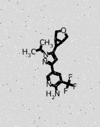 CC(C)n1nc(-c2cnc(N)c(C(F)(F)F)c2)cc1C1C2COCC21